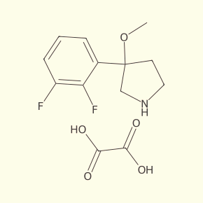 COC1(c2cccc(F)c2F)CCNC1.O=C(O)C(=O)O